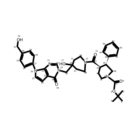 CC(C)(C)OC(=O)N1CC[C@@H](C(=O)N2CCC(O)(Cn3cnc4c(ccn4-c4ccc(CO)cc4)c3=O)CC2)[C@H](c2ccccc2)C1